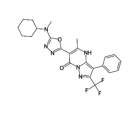 Cc1[nH]c2c(-c3ccccc3)c(C(F)(F)F)nn2c(=O)c1-c1nnc(N(C)C2CCCCC2)o1